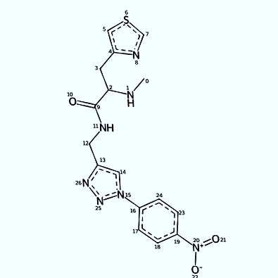 CNC(Cc1cscn1)C(=O)NCc1cn(-c2ccc([N+](=O)[O-])cc2)nn1